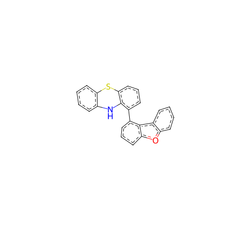 c1ccc2c(c1)Nc1c(cccc1-c1cccc3oc4ccccc4c13)S2